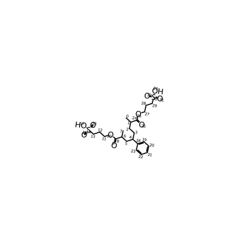 CC(CCC(CC(C)C(=O)OCCCS(=O)(=O)O)c1ccccc1)C(=O)OCCCS(=O)(=O)O